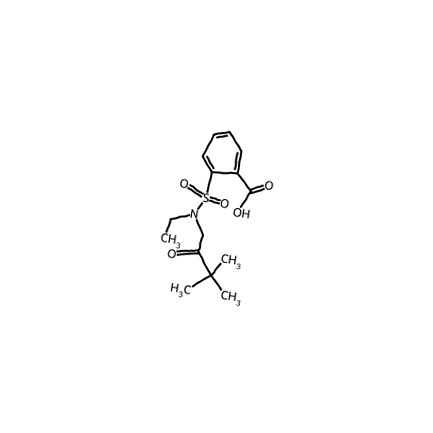 CCN(CC(=O)C(C)(C)C)S(=O)(=O)c1ccccc1C(=O)O